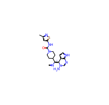 C=N/C(=C1/c2cc[nH]c2N=CN1N)C1CCN(C(=O)Nc2cc(C)ns2)CC1